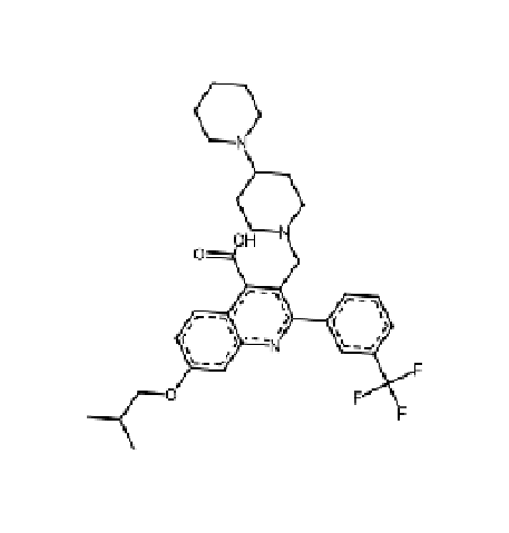 CC(C)COc1ccc2c(C(=O)O)c(CN3CCC(N4CCCCC4)CC3)c(-c3cccc(C(F)(F)F)c3)nc2c1